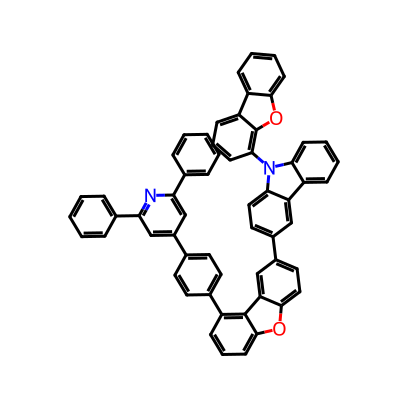 c1ccc(-c2cc(-c3ccc(-c4cccc5oc6ccc(-c7ccc8c(c7)c7ccccc7n8-c7cccc8c7oc7ccccc78)cc6c45)cc3)cc(-c3ccccc3)n2)cc1